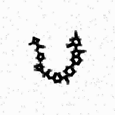 C[C@H]1CCN1C(=O)O[C@@H]1CC[C@H](c2cc(NC(=O)Cc3ccc(C(=O)N4CCN(c5ccc6c(c5)CN(C5CCC(=O)NC5=O)C6=O)CC4)cc3)n[nH]2)C1